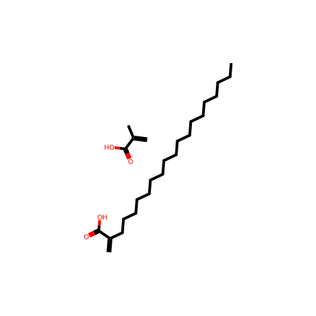 C=C(C)C(=O)O.C=C(CCCCCCCCCCCCCCCCCC)C(=O)O